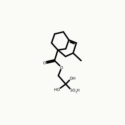 CC1C=C2CCCC(C(=O)OCC(O)(O)S(=O)(=O)O)(C2)C1